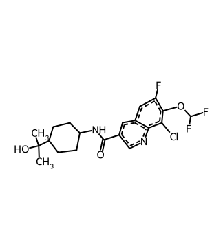 CC(C)(O)C1CCC(NC(=O)c2cnc3c(Cl)c(OC(F)F)c(F)cc3c2)CC1